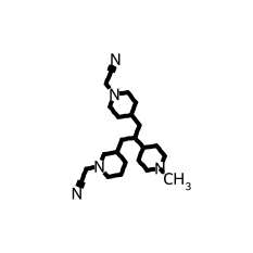 CN1CCC([C](CC2CCN(CC#N)CC2)CC2CCCN(CC#N)C2)CC1